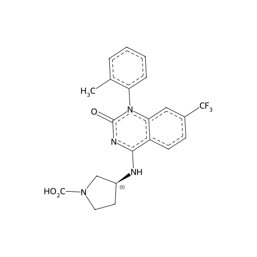 Cc1ccccc1-n1c(=O)nc(N[C@H]2CCN(C(=O)O)C2)c2ccc(C(F)(F)F)cc21